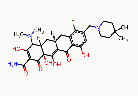 CN(C)[C@@H]1C(O)=C(C(N)=O)C(=O)[C@@]2(O)C(O)=C3C(=O)c4c(O)cc(CN5CCC(C)(C)CC5)c(F)c4C[C@H]3C[C@@H]12